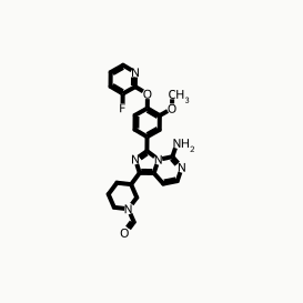 COc1cc(-c2nc(C3CCCN(C=O)C3)c3ccnc(N)n23)ccc1Oc1ncccc1F